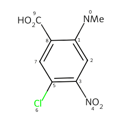 CNc1cc([N+](=O)[O-])c(Cl)cc1C(=O)O